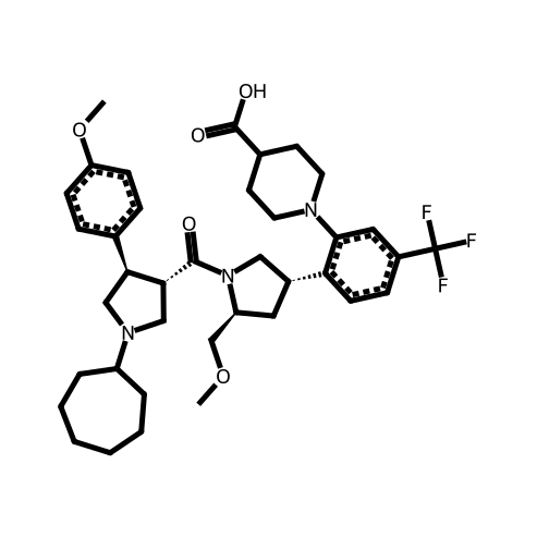 COC[C@@H]1C[C@@H](c2ccc(C(F)(F)F)cc2N2CCC(C(=O)O)CC2)CN1C(=O)[C@@H]1CN(C2CCCCCC2)C[C@H]1c1ccc(OC)cc1